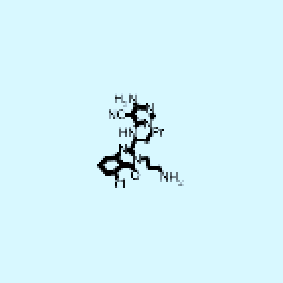 CC(C)C[C@H](Nc1ncnc(N)c1C#N)c1nc2cccc(Cl)c2c(=O)n1CCCN